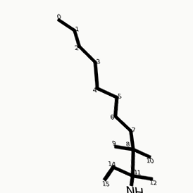 CCCCCCCCC(C)(C)C(C)(N)CC